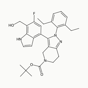 CCc1cccc(CC)c1-n1nc2c(c1-c1cc(F)c(CO)c3[nH]ccc13)CN(C(=O)OC(C)(C)C)CC2